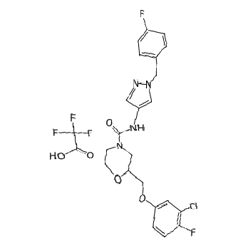 O=C(Nc1cnn(Cc2ccc(F)cc2)c1)N1CCOC(COc2ccc(F)c(Cl)c2)C1.O=C(O)C(F)(F)F